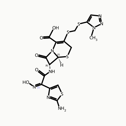 Cn1nncc1SCSC1=C(C(=O)O)N2C(=O)[C@@H](NC(=O)/C(=N\O)c3csc(N)n3)[C@@H]2SC1